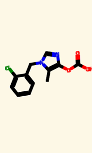 Cc1c(OC(=O)O)ncn1Cc1ccccc1Cl